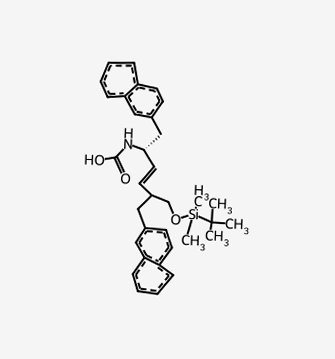 CC(C)(C)[Si](C)(C)OCC(C=C[C@@H](Cc1ccc2ccccc2c1)NC(=O)O)Cc1ccc2ccccc2c1